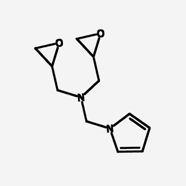 c1ccn(CN(CC2CO2)CC2CO2)c1